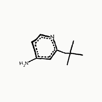 CC(C)(C)c1cc(N)ccn1